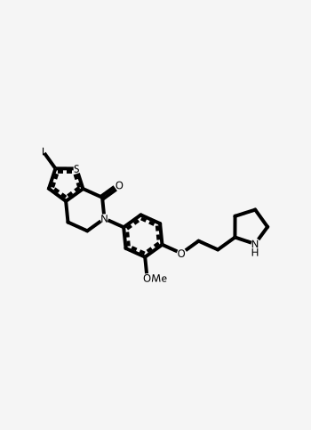 COc1cc(N2CCc3cc(I)sc3C2=O)ccc1OCCC1CCCN1